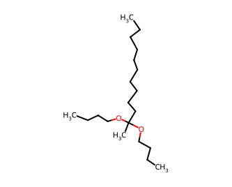 CCCCCCCCCCC(C)(OCCCC)OCCCC